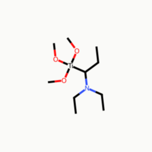 CC[CH](N(CC)CC)[Ti]([O]C)([O]C)[O]C